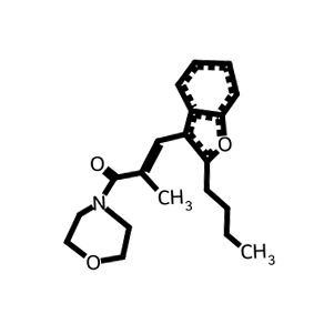 CCCCc1oc2ccccc2c1C=C(C)C(=O)N1CCOCC1